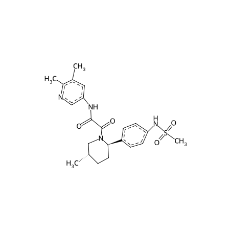 Cc1cc(NC(=O)C(=O)N2C[C@@H](C)CC[C@@H]2c2ccc(NS(C)(=O)=O)cc2)cnc1C